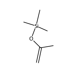 C=C(C)O[Si](C)(C)C